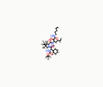 C=CCCCNC(=O)C(=O)C(CCC=C)NC(=O)[C@@H]1[C@H]2[C@@H](CN1C(=O)[C@@H](NC(=O)OC(C)(C)C)C1CCCCC1)C2(C)C